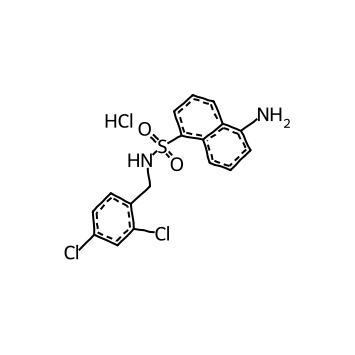 Cl.Nc1cccc2c(S(=O)(=O)NCc3ccc(Cl)cc3Cl)cccc12